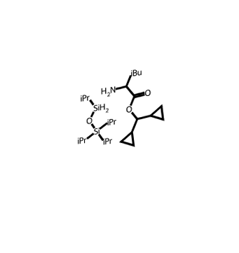 CC(C)[SiH2]O[Si](C(C)C)(C(C)C)C(C)C.CCC(C)C(N)C(=O)OC(C1CC1)C1CC1